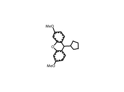 COc1ccc2c(c1)Oc1cc(OC)ccc1C2C1CCCC1